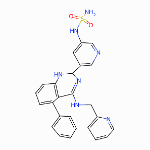 NS(=O)(=O)Nc1cncc(C2N=C(NCc3ccccn3)c3c(cccc3-c3ccccc3)N2)c1